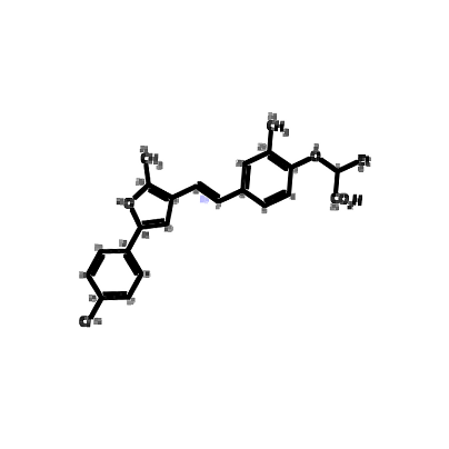 CCC(Oc1ccc(/C=C/c2cc(-c3ccc(Cl)cc3)oc2C)cc1C)C(=O)O